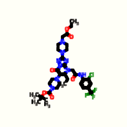 CCOC(=O)CN1CCN(c2nc3n(CC(=O)Nc4ccc(C(F)(F)F)cc4Cl)c(CC)c(N4CCN(C(=O)OC(C)(C)C)CC4)c(=O)n3n2)CC1